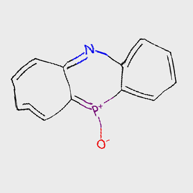 [O-][p+]1c2ccccc2nc2ccccc21